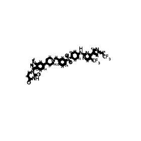 Cn1nc(N2CCC(=O)NC2=O)c2ccc(C3CCN(Cc4cccc(S(=O)(=O)C5CCC(Nc6ncc(C(F)(F)F)c(-c7cnn(CC(F)(F)F)c7)n6)CC5)c4)CC3)cc21